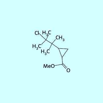 COC(=O)C1CC1C(C)(C)C(C)(C)Cl